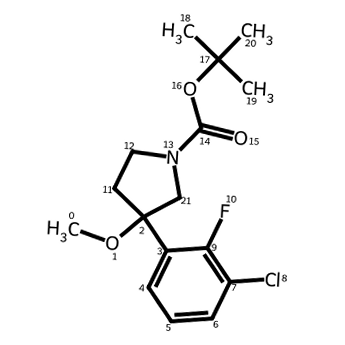 COC1(c2cccc(Cl)c2F)CCN(C(=O)OC(C)(C)C)C1